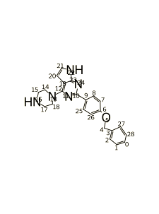 c1ccc(COc2ccc(-c3nc(N4CCNCC4)c4cc[nH]c4n3)cc2)cc1